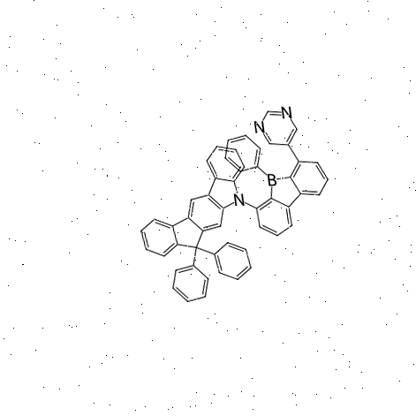 c1ccc(B2c3c(-c4cncnc4)cccc3-c3cccc(-n4c5ccccc5c5cc6c(cc54)C(c4ccccc4)(c4ccccc4)c4ccccc4-6)c32)cc1